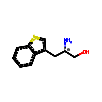 N[C@H](CO)Cc1csc2ccccc12